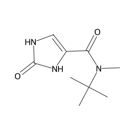 CN(C(=O)c1c[nH]c(=O)[nH]1)C(C)(C)C